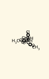 CCOC(=O)C(C)NC(=O)C(Cc1ccc(OC)cc1)NC(=O)Nc1ccc(Cl)cc1